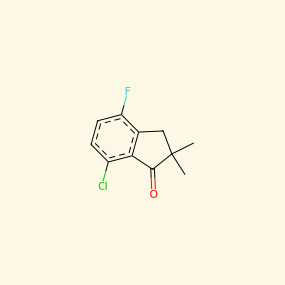 CC1(C)Cc2c(F)ccc(Cl)c2C1=O